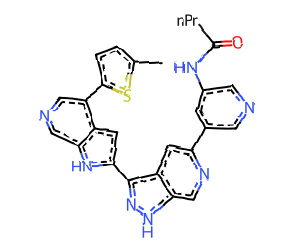 CCCC(=O)Nc1cncc(-c2cc3c(-c4cc5c(-c6ccc(C)s6)cncc5[nH]4)n[nH]c3cn2)c1